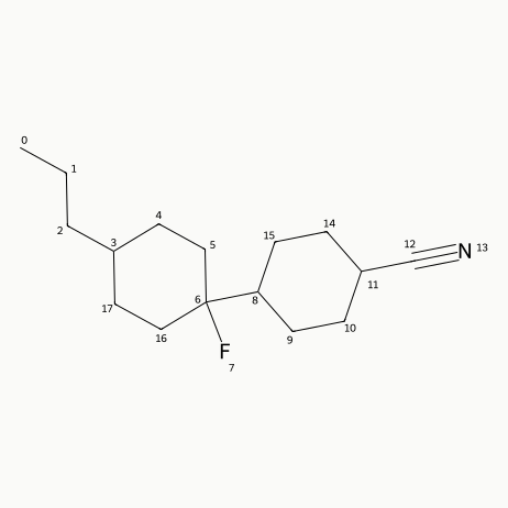 CCCC1CCC(F)(C2CCC(C#N)CC2)CC1